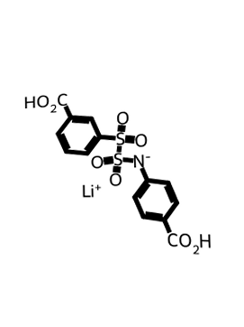 O=C(O)c1ccc([N-]S(=O)(=O)S(=O)(=O)c2cccc(C(=O)O)c2)cc1.[Li+]